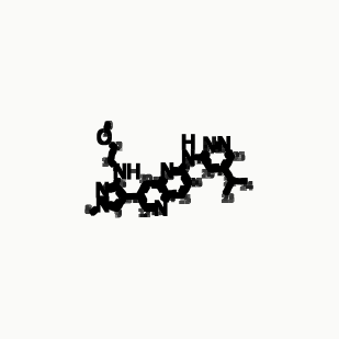 COCCNc1nn(C)cc1-c1cnc2ccc(Nc3cc(C(C)C)cnn3)nc2c1